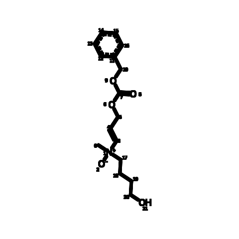 C[N+]([O-])(/C=C/COC(=O)OCc1ccccc1)CCCCO